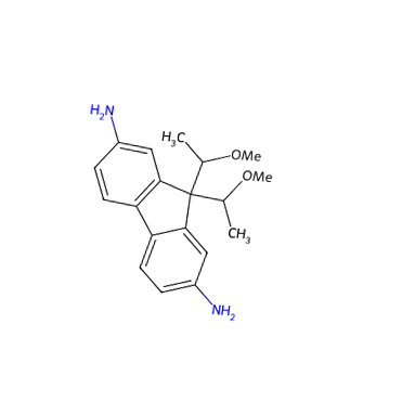 COC(C)C1(C(C)OC)c2cc(N)ccc2-c2ccc(N)cc21